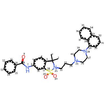 CC1(C)c2ccc(NC(=O)c3ccccc3)cc2S(=O)(=O)N1CCCN1CCN(c2cccc3ccccc23)CC1